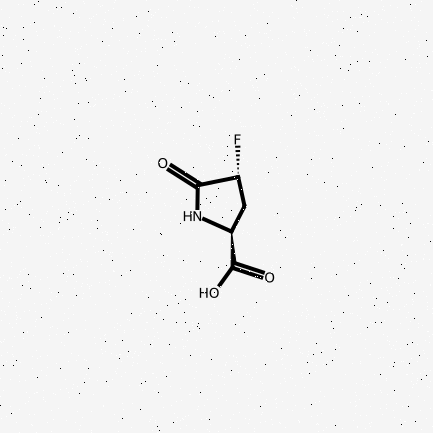 O=C1N[C@H](C(=O)O)C[C@H]1F